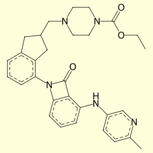 CCOC(=O)N1CCN(CC2Cc3cccc(N4C(=O)c5c(Nc6ccc(C)nc6)cccc54)c3C2)CC1